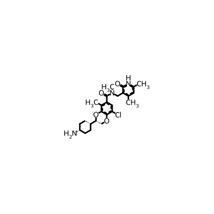 Cc1cc(C)c(CN(C)C(=O)c2cc(Cl)c3c(c2C)O[C@@H]([C@H]2CC[C@@H](N)CC2)CO3)c(=O)[nH]1